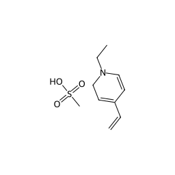 C=CC1=CCN(CC)C=C1.CS(=O)(=O)O